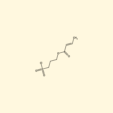 CC=CC(=O)OCCCS(=O)(=O)Cl